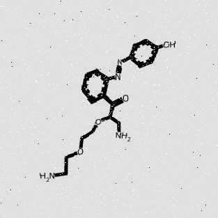 NCCOCCOC(CN)C(=O)c1ccccc1/N=N/c1ccc(O)cc1